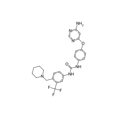 Nc1cc(Oc2ccc(NC(=O)Nc3ccc(CN4CCCCC4)c(C(F)(F)F)c3)cc2)ncn1